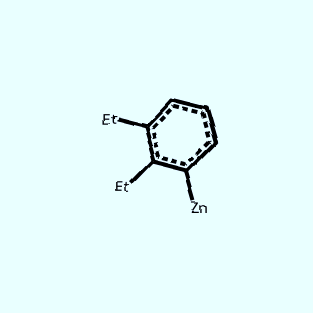 CCc1ccc[c]([Zn])c1CC